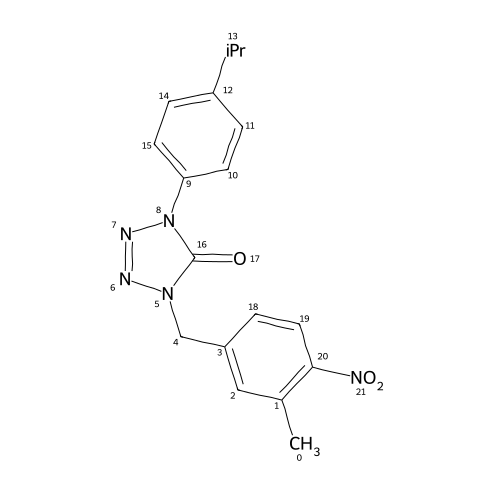 Cc1cc(Cn2nnn(-c3ccc(C(C)C)cc3)c2=O)ccc1[N+](=O)[O-]